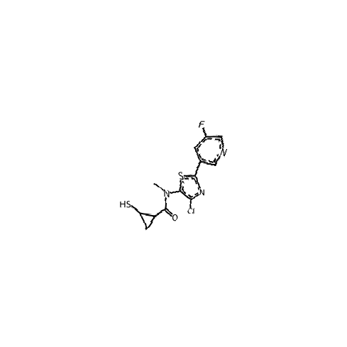 CN(C(=O)C1CC1S)c1sc(-c2cncc(F)c2)nc1Cl